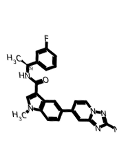 C[C@H](NC(=O)c1cn(C)c2ccc(-c3ccn4nc(N)nc4c3)cc12)c1cccc(F)c1